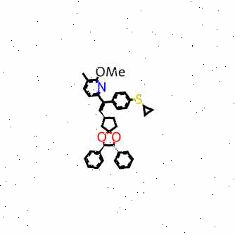 COc1nc(/C(=C/[C@H]2CCC3(C2)O[C@H](c2ccccc2)[C@@H](c2ccccc2)O3)c2ccc(SC3CC3)cc2)ccc1C